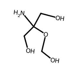 NC(CO)(CO)OCO